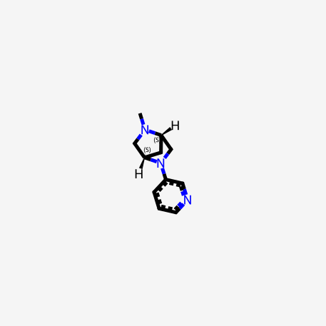 CN1C[C@@H]2C[C@H]1CN2c1cccnc1